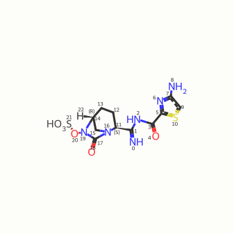 N=C(NC(=O)c1nc(N)cs1)[C@@H]1CC[C@@H]2CN1C(=O)N2OS(=O)(=O)O